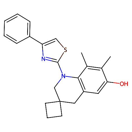 Cc1c(O)cc2c(c1C)N(c1nc(-c3ccccc3)cs1)CC1(CCC1)C2